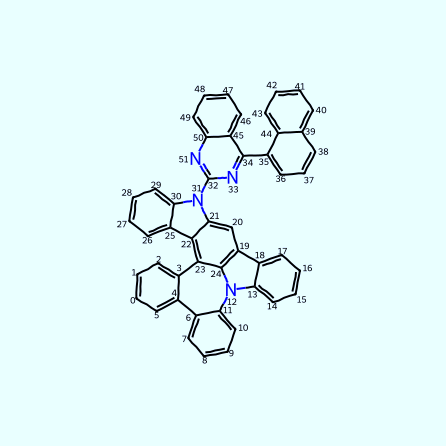 c1ccc2c(c1)-c1ccccc1-n1c3ccccc3c3cc4c(c-2c31)c1ccccc1n4-c1nc(-c2cccc3ccccc23)c2ccccc2n1